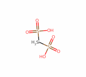 O=S(=O)(O)[SiH2]S(=O)(=O)O